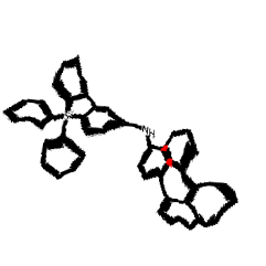 c1ccc(-c2cccc3cccc(-c4ccc(Nc5ccc6c(c5)-c5ccccc5[Si]6(c5ccccc5)c5ccccc5)cc4)c23)cc1